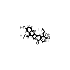 CCC[C@@]1(O)C(=O)NCc2c1cc1n(c2=O)Cc2c-1nc1ccc(O)cc1c2CC